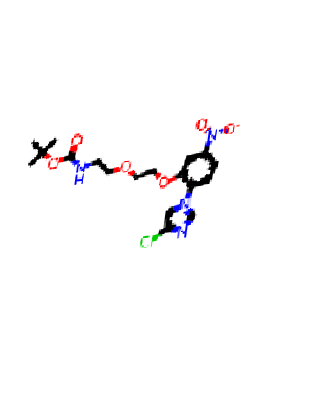 CC(C)(C)OC(=O)NCCOCCOc1cc([N+](=O)[O-])ccc1-n1cnc(Cl)c1